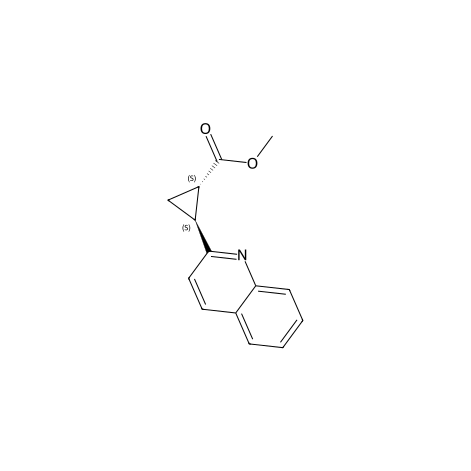 COC(=O)[C@H]1C[C@@H]1c1ccc2ccccc2n1